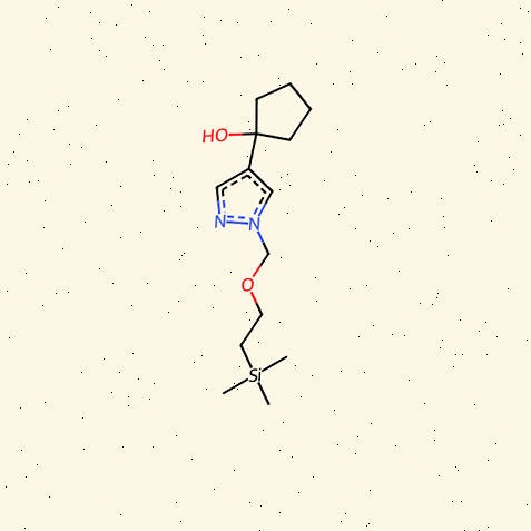 C[Si](C)(C)CCOCn1cc(C2(O)CCCC2)cn1